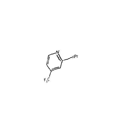 CCCc1cc(C(F)(F)F)ccn1